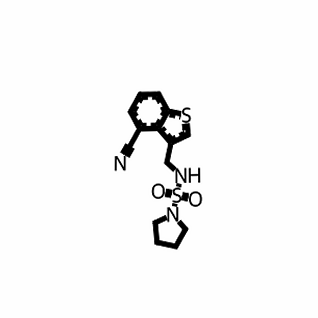 N#Cc1cccc2scc(CNS(=O)(=O)N3CCCC3)c12